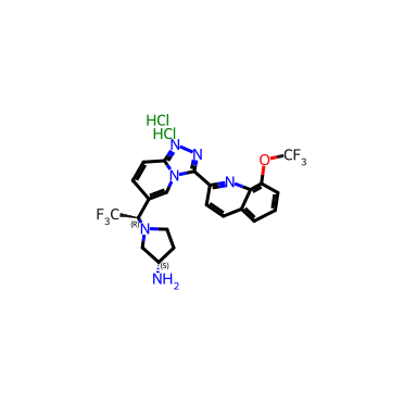 Cl.Cl.N[C@H]1CCN([C@H](c2ccc3nnc(-c4ccc5cccc(OC(F)(F)F)c5n4)n3c2)C(F)(F)F)C1